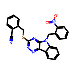 N#Cc1ccccc1CSc1nnc2c3ccccc3n(Cc3ccccc3[N+](=O)[O-])c2n1